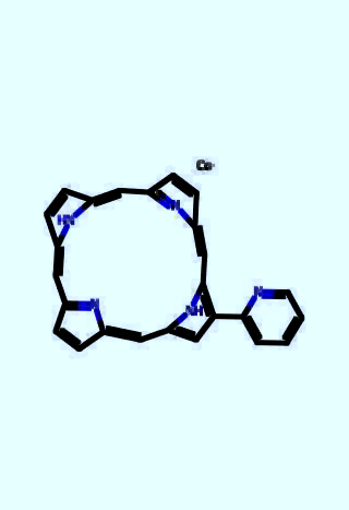 C1=Cc2cc3cc(-c4ccccn4)c(cc4nc(cc5ccc(cc1n2)[nH]5)C=C4)[nH]3.[Co]